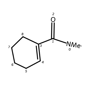 C[N]C(=O)C1=CCCCC1